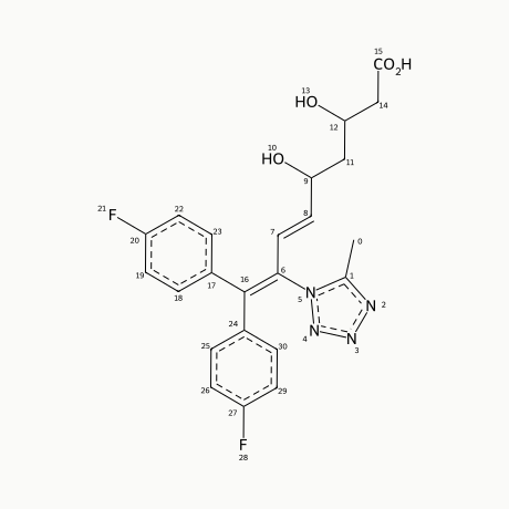 Cc1nnnn1C(C=CC(O)CC(O)CC(=O)O)=C(c1ccc(F)cc1)c1ccc(F)cc1